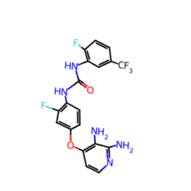 Nc1nccc(Oc2ccc(NC(=O)Nc3cc(C(F)(F)F)ccc3F)c(F)c2)c1N